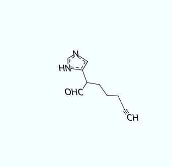 C#CCCCC(C=O)c1cnc[nH]1